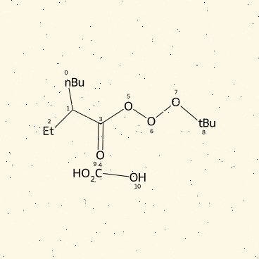 CCCCC(CC)C(=O)OOOC(C)(C)C.O=C(O)O